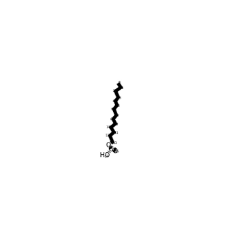 CCCCCCCCCCCCCC[O][Ge](=[O])[OH]